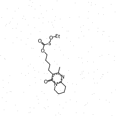 CCOSC(=O)OCCCCc1c(C)nc2n(c1=O)CCCC2